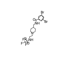 O=C(NCC1CCN(CCNS(=O)(=O)C(F)(F)F)CC1)c1cc(Br)cc(Br)c1